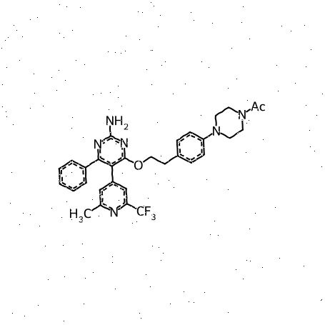 CC(=O)N1CCN(c2ccc(CCOc3nc(N)nc(-c4ccccc4)c3-c3cc(C)nc(C(F)(F)F)c3)cc2)CC1